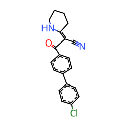 N#CC(C(=O)c1ccc(-c2ccc(Cl)cc2)cc1)=C1CCCCN1